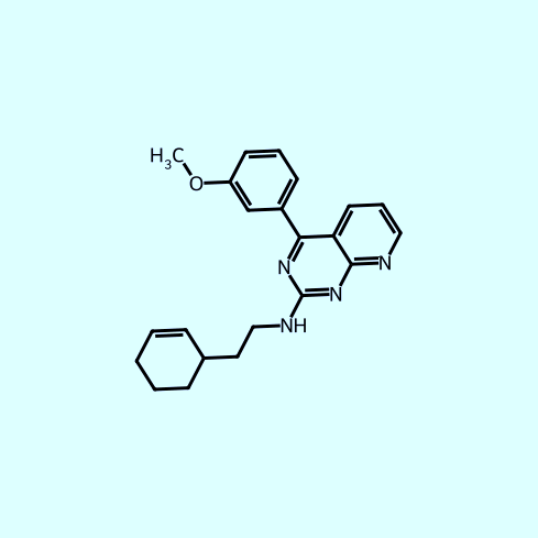 COc1cccc(-c2nc(NCCC3C=CCCC3)nc3ncccc23)c1